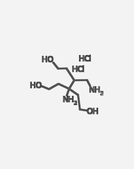 Cl.Cl.NCC(CCO)C(N)(CCO)CCO